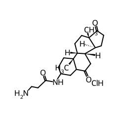 C[C@]12CCC(NC(=O)CCN)CC1C(=O)C[C@@H]1[C@H]2CC[C@]2(C)C(=O)CC[C@@H]12.Cl